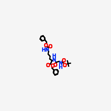 CC(C)(C)OC(=O)NCC(=O)NC(CCCCNC(=O)OCc1ccccc1)C(=O)OCc1ccccc1